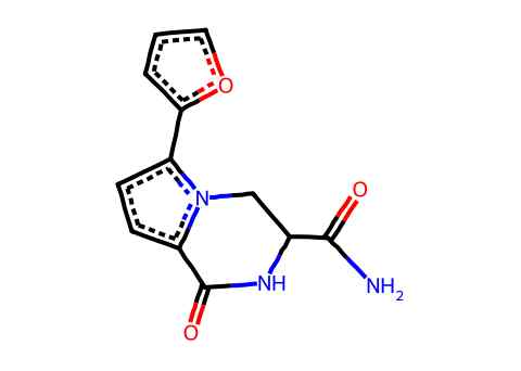 NC(=O)C1Cn2c(ccc2-c2ccco2)C(=O)N1